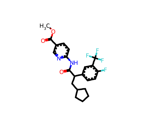 COC(=O)c1ccc(NC(=O)C(CC2CCCC2)c2ccc(F)c(C(F)(F)F)c2)nc1